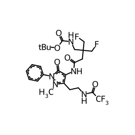 Cn1c(CCNC(=O)C(F)(F)F)c(NC(=O)CC(CF)(CF)CNC(=O)OC(C)(C)C)c(=O)n1-c1ccccc1